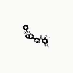 Cc1ccc(N)cc1Nc1cc(-c2cnc3c(ccn3S(=O)(=O)c3ccccc3)c2)ncn1